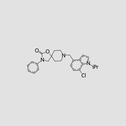 CC(C)n1ccc2c(CN3CCC4(CC3)CN(c3ccccc3)C(=O)O4)ccc(Cl)c21